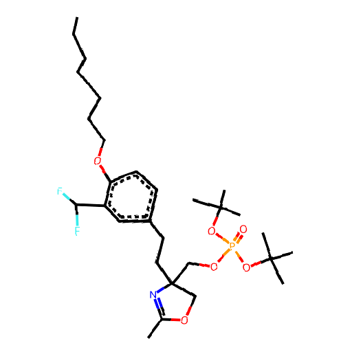 CCCCCCCOc1ccc(CCC2(COP(=O)(OC(C)(C)C)OC(C)(C)C)COC(C)=N2)cc1C(F)F